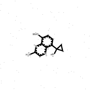 CCCC1(c2ccc(OC)c3nc(N)cnc23)CC1